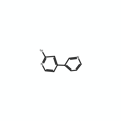 [2H]c1cc(-c2cccnc2)ccn1